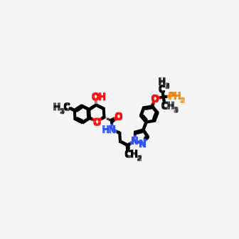 C=C(CCNC(=O)[C@H]1C[C@@H](O)c2cc(C)ccc2O1)n1cc(-c2ccc(OC(C)(C)P)cc2)cn1